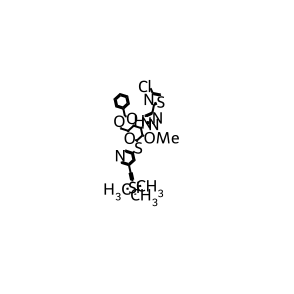 COC1C(n2cc(-c3nc(Cl)cs3)nn2)[C@H]2OC(c3ccccc3)OCC2O[C@@H]1Sc1cncc(C#C[Si](C)(C)C)c1